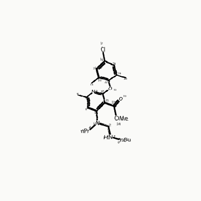 CCCCNCN(CCC)c1cc(C)nc(Oc2c(C)cc(Cl)cc2C)c1C(=O)OC